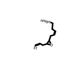 CC/C=C\CC1OC1C/C=C\CCCCCCCCC